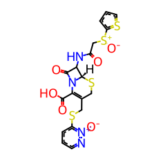 O=C(C[S+]([O-])c1cccs1)NC1C(=O)N2C(C(=O)O)=C(CSc3cccn[n+]3[O-])CS[C@@H]12